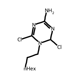 CCCCCCCCN1C(Cl)=NC(N)=NC1Cl